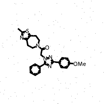 COc1ccc(-c2nc(-c3ccccc3)n(CC(=O)N3CCc4nc(C)sc4CC3)n2)cc1